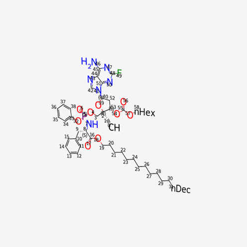 C#C[C@]1(CO[P@@](=O)(N[C@@H](Cc2ccccc2)C(=O)OCCCCCCCCCCCCCCCCCCCCCC)Oc2ccccc2)O[C@@H](n2cnc3c(N)nc(F)nc32)C[C@@H]1OC(=O)OCCCCCC